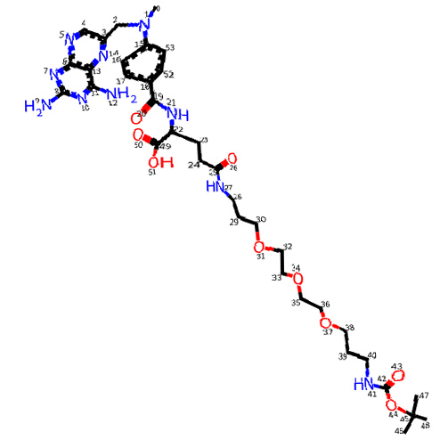 CN(Cc1cnc2nc(N)nc(N)c2n1)c1ccc(C(=O)NC(CCC(=O)NCCCOCCOCCOCCCNC(=O)OC(C)(C)C)C(=O)O)cc1